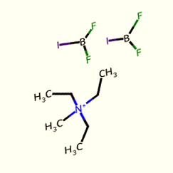 CC[N+](C)(CC)CC.FB(F)I.FB(F)I